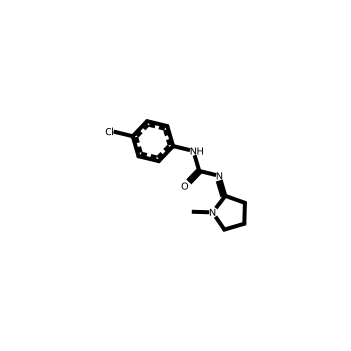 CN1CCCC1=NC(=O)Nc1ccc(Cl)cc1